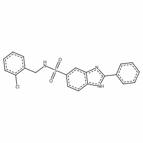 O=S(=O)(NCc1ccccc1Cl)c1ccc2[nH]c(-c3ccccc3)nc2c1